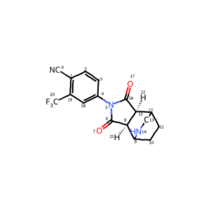 N#Cc1ccc(N2C(=O)[C@@H]3C4CCC(CN4)[C@@H]3C2=O)cc1C(F)(F)F